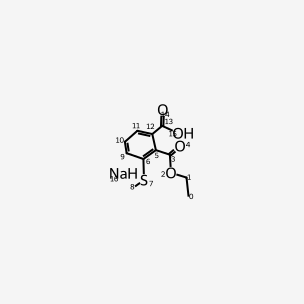 CCOC(=O)c1c(SC)cccc1C(=O)O.[NaH]